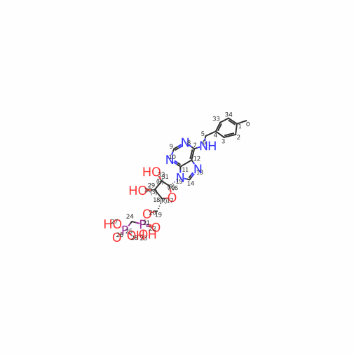 Cc1ccc(CNc2ncnc3c2ncn3[C@@H]2O[C@H](COP(=O)(O)CP(=O)(O)O)[C@@H](O)[C@H]2O)cc1